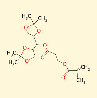 C=C(C)C(=O)OCCC(=O)OC(C1COC(C)(C)O1)C1COC(C)(C)O1